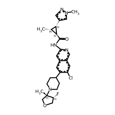 C[C@H]1[C@H](C(=O)Nc2cc3cc(C4CCN([C@@]5(C)COC[C@H]5F)CC4)c(Cl)cc3cn2)[C@H]1c1cnn(C)c1